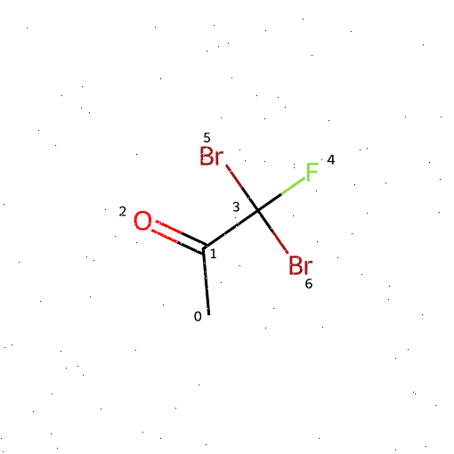 CC(=O)C(F)(Br)Br